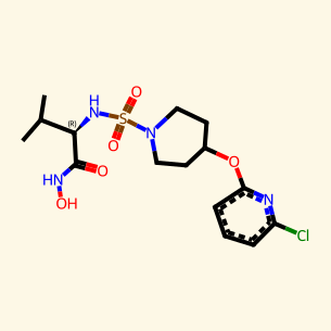 CC(C)[C@@H](NS(=O)(=O)N1CCC(Oc2cccc(Cl)n2)CC1)C(=O)NO